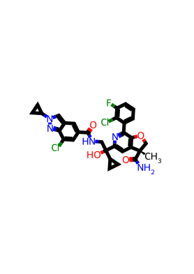 C[C@]1(C(N)=O)COc2c1cc(C(O)(CNC(=O)c1cc(Cl)c3nn(C4CC4)cc3c1)C1CC1)nc2-c1cccc(F)c1Cl